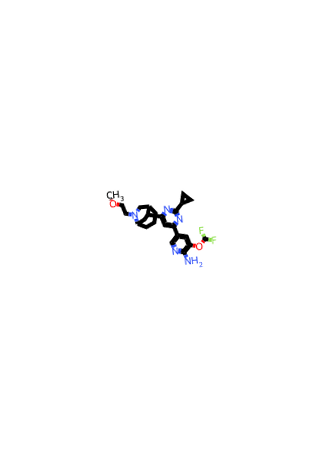 COCCN1CC2CCCC1CC2c1cc(-c2cnc(N)c(OC(F)F)c2)nc(C2CC2)n1